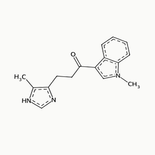 Cc1[nH]cnc1CCC(=O)c1cn(C)c2ccccc12